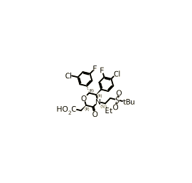 CC[C@@H](CS(=O)(=O)C(C)(C)C)N1C(=O)[C@@H](CC(=O)O)O[C@H](c2cc(F)cc(Cl)c2)[C@H]1c1ccc(Cl)c(F)c1